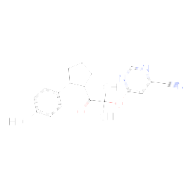 Cc1ccc(C2CCCC2C(=O)C(C)(C)Oc2cc(C#N)ncn2)cc1